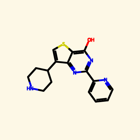 Oc1nc(-c2ccccn2)nc2c(C3CCNCC3)csc12